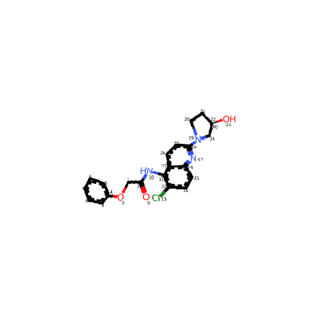 O=C(COc1ccccc1)Nc1c(Cl)ccc2nc(N3CC[C@@H](O)C3)ccc12